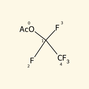 [CH2]C(=O)OC(F)(F)C(F)(F)F